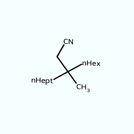 CCCCCCCC(C)(CC#N)CCCCCC